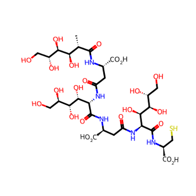 C[C@H](C(=O)N[C@@H](CC(=O)N[C@H](C(=O)N[C@@H](CC(=O)N[C@H](C(=O)N[C@@H](CS)C(=O)O)[C@@H](O)[C@H](O)[C@H](O)CO)C(=O)O)[C@@H](O)[C@H](O)[C@H](O)CO)C(=O)O)[C@@H](O)[C@H](O)[C@H](O)CO